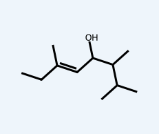 CC/C(C)=C/C(O)C(C)C(C)C